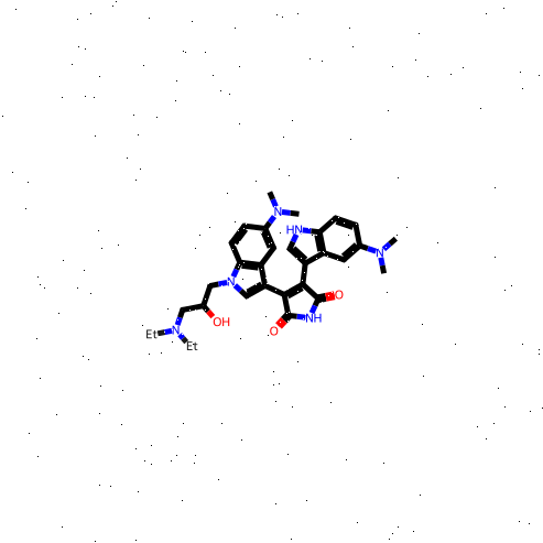 CCN(CC)CC(O)Cn1cc(C2=C(c3c[nH]c4ccc(N(C)C)cc34)C(=O)NC2=O)c2cc(N(C)C)ccc21